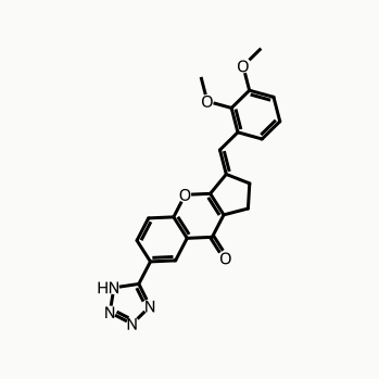 COc1cccc(C=C2CCc3c2oc2ccc(-c4nnn[nH]4)cc2c3=O)c1OC